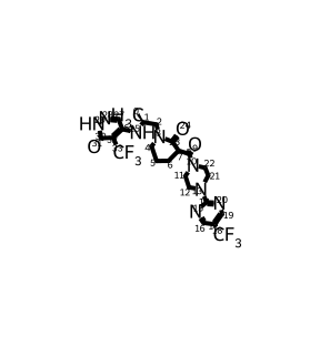 C[C@@H](CN1CCCC(C(=O)N2CCN(c3ncc(C(F)(F)F)cn3)CC2)C1=O)Nc1cn[nH]c(=O)c1C(F)(F)F